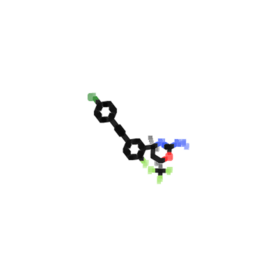 C[C@@]1(c2cc(C#Cc3ccc(Cl)cc3)ccc2F)C[C@@H](C(F)(F)F)OC(N)=N1